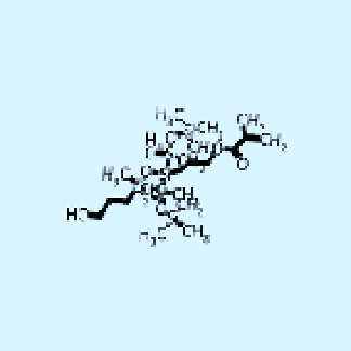 C=C(C)C(=O)OCCC[Si](O[Si](C)(C)CCCO)([Si](C)(C)O[Si](C)(C)C)[Si](C)(C)O[Si](C)(C)C